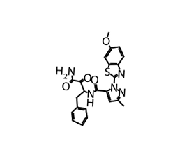 COc1ccc2nc(-n3nc(C)cc3C(=O)NC(Cc3ccccc3)C(=O)C(N)=O)sc2c1